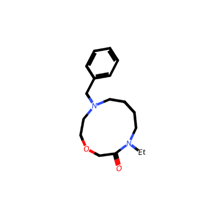 CCN1CCCCN(Cc2ccccc2)CCOCC1=O